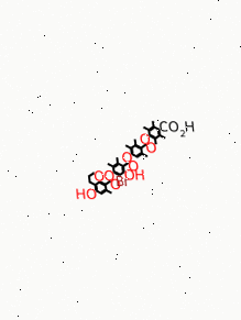 Cc1cc(OC(=O)c2c(C)c(C)c(OC(=O)c3c(C)cc(O)c4c3OCCC4)c(Br)c2O)c(C)c(C)c1C(=O)Oc1c(C)c(C)c(C(=O)O)c(C)c1C